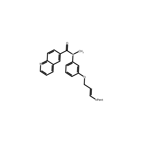 CCCCCC=CCOc1cccc(N(C)C(=O)c2ccc3ncccc3c2)c1